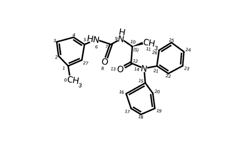 Cc1cccc(NC(=O)N[C@@H](C)C(=O)N(c2ccccc2)c2ccccc2)c1